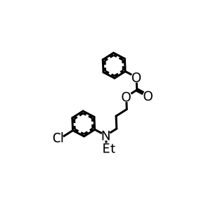 CCN(CCCOC(=O)Oc1ccccc1)c1cccc(Cl)c1